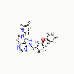 Cc1ccc(N2CCc3ncnc(NCc4cccc(Oc5ccccc5)c4)c3C2)nc1